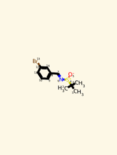 CC(C)(C)[S@+]([O-])/N=C/c1cccc(Br)c1